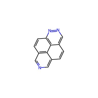 c1cc2cnnc3ccc4cncc1c4c23